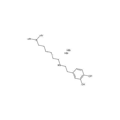 Br.Br.CCCN(CCC)CCCCCCNCCc1ccc(O)c(O)c1